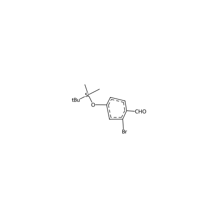 CC(C)(C)[Si](C)(C)Oc1ccc(C=O)c(Br)c1